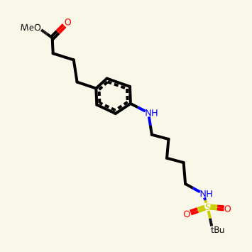 COC(=O)CCCc1ccc(NCCCCCNS(=O)(=O)C(C)(C)C)cc1